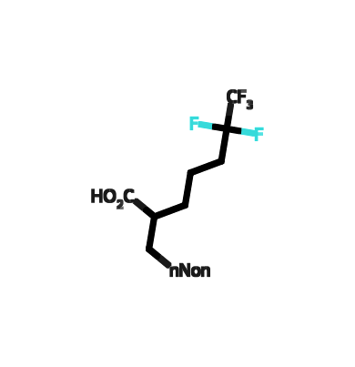 [CH2]CCCCCCCCCC(CCCC(F)(F)C(F)(F)F)C(=O)O